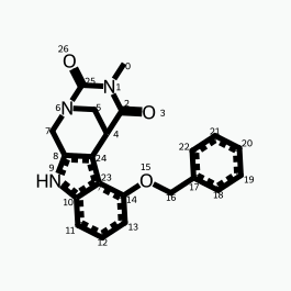 CN1C(=O)C2CN(Cc3[nH]c4cccc(OCc5ccccc5)c4c32)C1=O